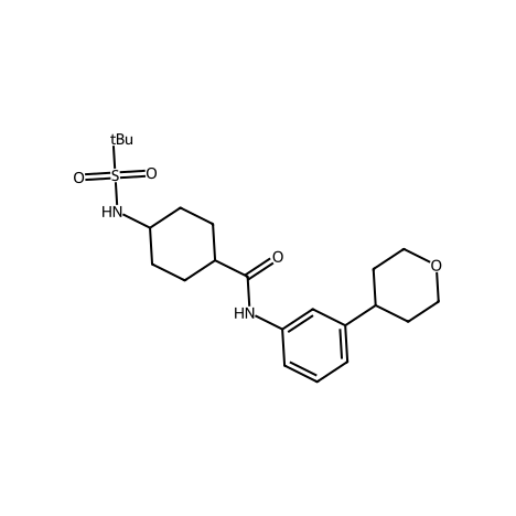 CC(C)(C)S(=O)(=O)NC1CCC(C(=O)Nc2cccc(C3CCOCC3)c2)CC1